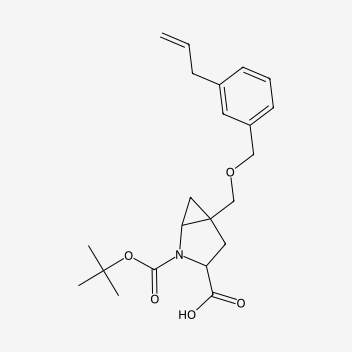 C=CCc1cccc(COCC23CC(C(=O)O)N(C(=O)OC(C)(C)C)C2C3)c1